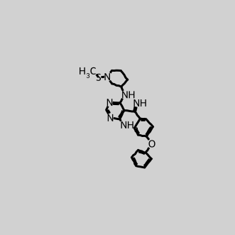 CSN1CCCC(Nc2ncnc(N)c2C(=N)c2ccc(Oc3ccccc3)cc2)C1